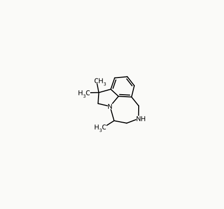 CC1CNCc2cccc3c2N1CC3(C)C